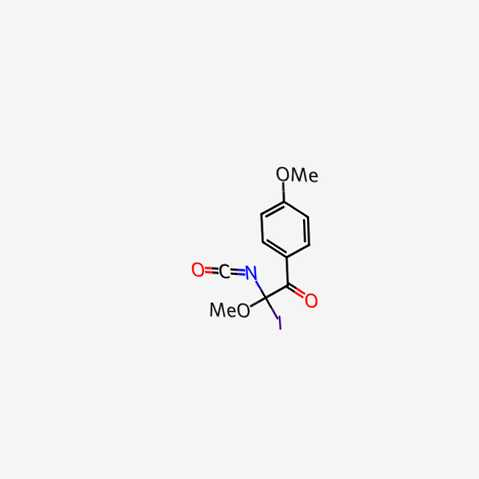 COc1ccc(C(=O)C(I)(N=C=O)OC)cc1